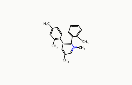 Cc1ccc(-c2cc(C)c[n+](C)c2-c2ccccc2C)c(C)c1